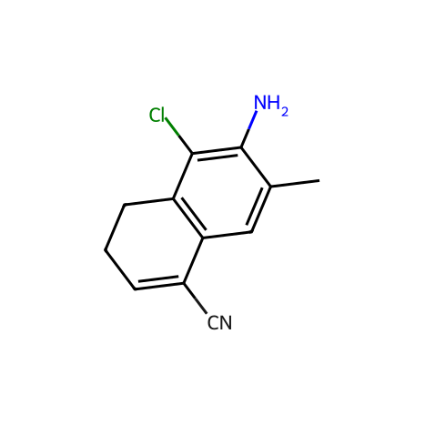 Cc1cc2c(c(Cl)c1N)CCC=C2C#N